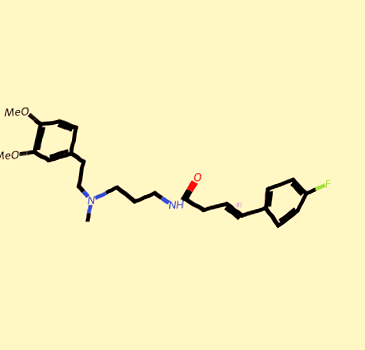 COc1ccc(CCN(C)CCCNC(=O)C/C=C/c2ccc(F)cc2)cc1OC